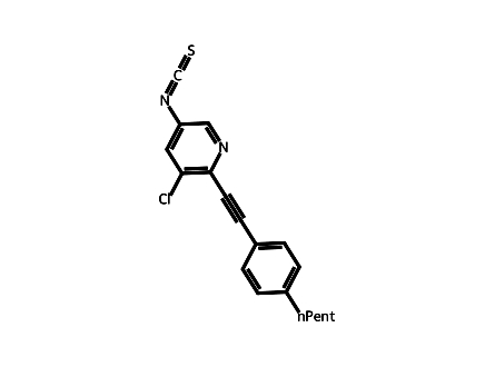 CCCCCc1ccc(C#Cc2ncc(N=C=S)cc2Cl)cc1